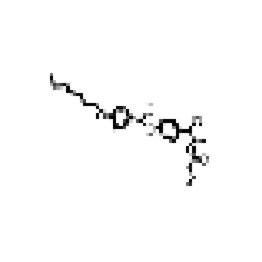 CCCCCCCOc1ccc(C(=O)Oc2ccc(C(=O)C(C)OC(=O)CCC)cc2)cc1